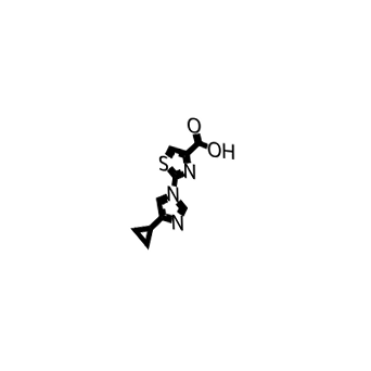 O=C(O)c1csc(-n2cnc(C3CC3)c2)n1